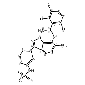 CCS(=O)(=O)Nc1cccc(-c2coc3c(O[C@H](C)c4c(Cl)ccc(F)c4Cl)c(N)ncc23)c1